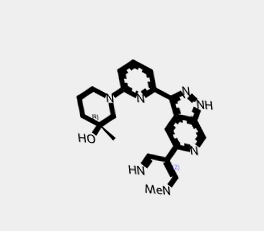 CN/C=C(\C=N)c1cc2c(-c3cccc(N4CCC[C@@](C)(O)C4)n3)n[nH]c2cn1